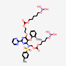 COc1ccccc1Oc1c(OCCOC(=O)OCCCCCON(O)O)nc(-c2ncccn2)nc1N(COC(=O)OCCCCON(O)O)S(=O)(=O)c1ccc(C(C)(C)C)cc1